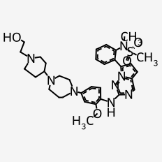 COc1cc(N2CCCN(C3CCN(CCO)CC3)CC2)ccc1Nc1ncc2ccc(-c3ccccc3N(C)S(C)(=O)=O)n2n1